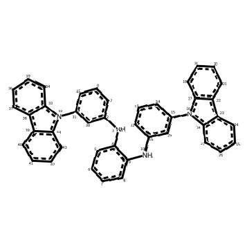 c1cc(Nc2ccccc2Nc2cccc(-n3c4ccccc4c4ccccc43)c2)cc(-n2c3ccccc3c3ccccc32)c1